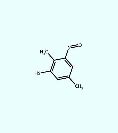 Cc1cc(S)c(C)c(N=O)c1